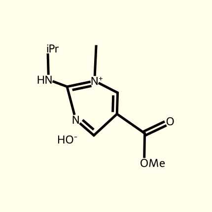 COC(=O)c1cnc(NC(C)C)[n+](C)c1.[OH-]